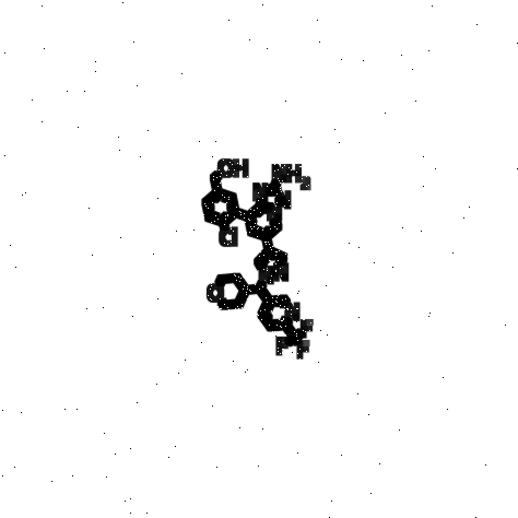 Nc1nc2c(-c3cc(CO)ccc3Cl)cc(-c3cnn(C(c4ccc(C(F)(F)F)nc4)C4CCOCC4)c3)cn2n1